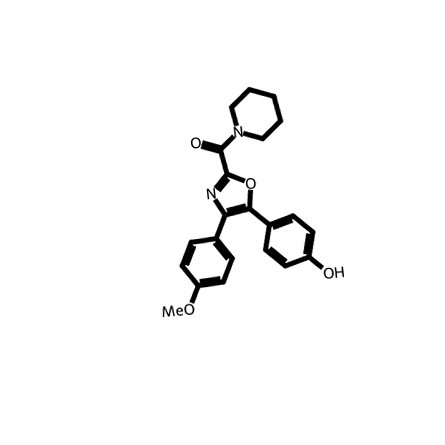 COc1ccc(-c2nc(C(=O)N3CCCCC3)oc2-c2ccc(O)cc2)cc1